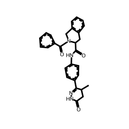 CC1CC(=O)NN=C1c1ccc(NC(=O)C2Cc3ccccc3CN2C(=O)c2ccccc2)cc1